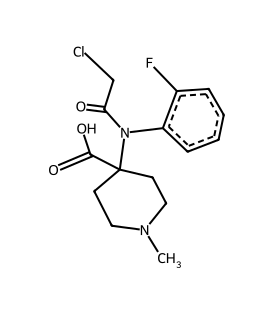 CN1CCC(C(=O)O)(N(C(=O)CCl)c2ccccc2F)CC1